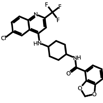 O=C(NC1CCC(Nc2cc(C(F)(F)F)nc3ccc(Cl)cc23)CC1)c1cccc2c1OCO2